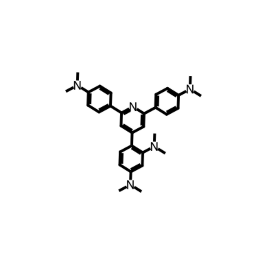 CN(C)c1ccc(-c2cc(-c3ccc(N(C)C)cc3N(C)C)cc(-c3ccc(N(C)C)cc3)n2)cc1